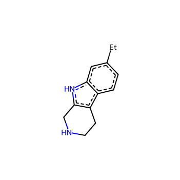 CCc1ccc2c3c([nH]c2c1)CNCC3